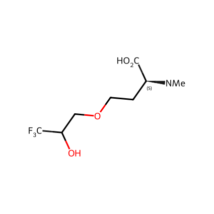 CN[C@@H](CCOCC(O)C(F)(F)F)C(=O)O